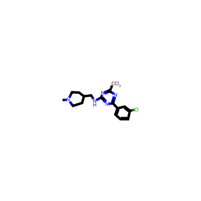 CN1CCC(CNc2nc(-c3cccc(Cl)c3)nc(C(Cl)(Cl)Cl)n2)CC1